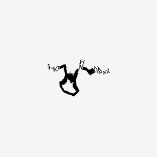 CCCCCCNc1ccccc1CO